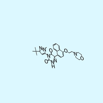 Cn1nc(C(C)(C)C)cc1-n1c(=O)[nH]nc(-c2ccc(OCCN3CCOCC3)c3ccccc23)c1=O